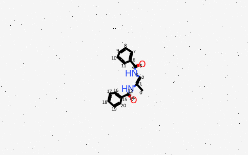 CC(=CNC(=O)c1ccccc1)NC(=O)c1ccccc1